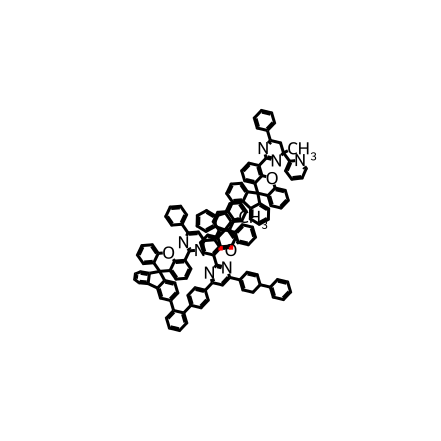 CC1c2cccc(-c3cc(-c4ccccc4)nc(-c4cccc5c4Oc4ccccc4C54c5ccccc5-c5cc(-c6ccccc6-c6ccc(-c7cc(C8=CCC(c9ccccc9)C=C8)nc(-c8cccc9c8Oc8ccccc8C98c9ccccc9-c9ccccc98)n7)cc6)ccc54)n3)c2C=CC1c1cccc2c1-c1ccccc1C21c2ccccc2Oc2c(C3=NC(C)(c4ccccn4)CC(c4ccccc4)=N3)cccc21